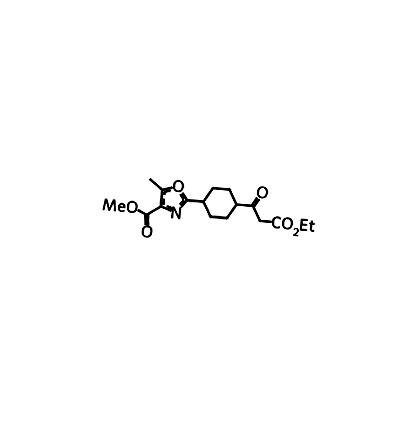 CCOC(=O)CC(=O)C1CCC(c2nc(C(=O)OC)c(C)o2)CC1